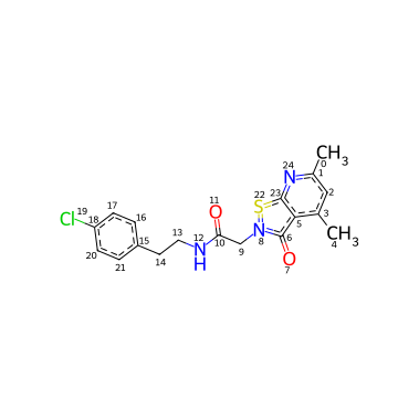 Cc1cc(C)c2c(=O)n(CC(=O)NCCc3ccc(Cl)cc3)sc2n1